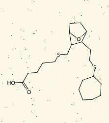 O=C(O)CCCCSCC1C2CCC(O2)C1CCSC1CCCCCC1